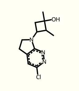 CC1C(N2CCc3cc(Cl)nnc32)CC1(C)O